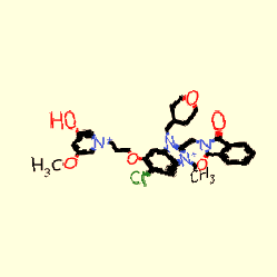 CC[n+]1c(CN2C(=O)c3ccccc3C2=O)n(CC2CCOCC2)c2cc(OCCC[n+]3cc(O)cc(OC)c3)c(Cl)cc21